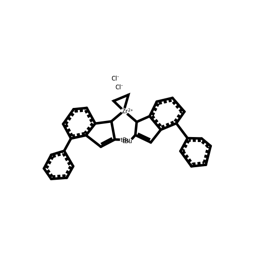 CC(C)(C)C1=Cc2c(-c3ccccc3)cccc2[CH]1[Zr+2]1([CH]2C(C(C)(C)C)=Cc3c(-c4ccccc4)cccc32)[CH2][CH2]1.[Cl-].[Cl-]